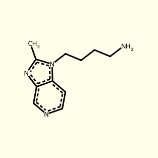 Cc1nc2cnccc2n1CCCCN